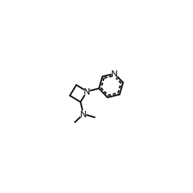 CN(C)C1CCN1c1cccnc1